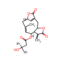 C=C1C(=O)OC2CC3=C[C@@H](C/C(C)=C/C(OC(=O)CC(O)(C(C)C)C(C)C)[C@H]12)OC3=O